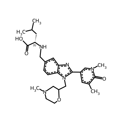 Cc1cc(-c2nc3cc(CN[C@@H](CC(C)C)C(=O)O)ccc3n2CC2CN(C)CCO2)cn(C)c1=O